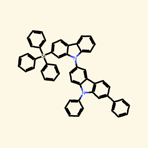 c1ccc(-c2ccc3c4cc(-n5c6ccccc6c6ccc([Si](c7ccccc7)(c7ccccc7)c7ccccc7)cc65)ccc4n(-c4ccccc4)c3c2)cc1